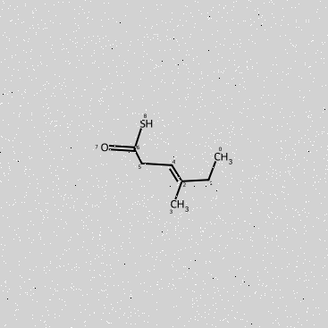 CCC(C)=CCC(=O)S